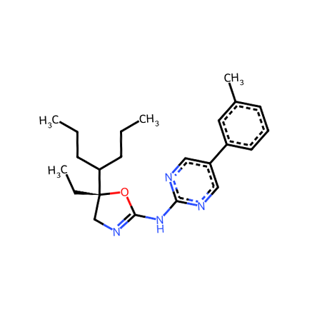 CCCC(CCC)[C@@]1(CC)CN=C(Nc2ncc(-c3cccc(C)c3)cn2)O1